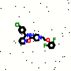 O=C(NC(c1ccc(Cl)cc1)c1ccccn1)C1CCN(CCOc2c(F)cccc2F)CC1